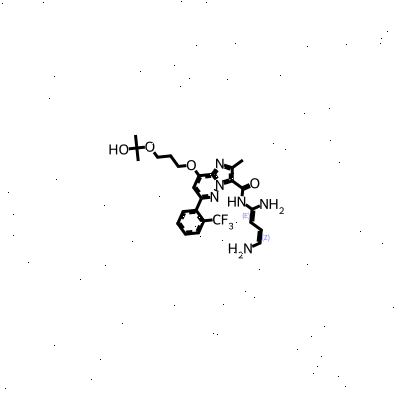 Cc1nc2c(OCCCOC(C)(C)O)cc(-c3ccccc3C(F)(F)F)nn2c1C(=O)N/C(N)=C/C=C\N